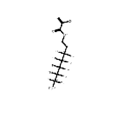 C=C(Cl)C(=O)OCCC(F)(F)C(F)(F)C(F)(F)C(F)(F)C(F)(F)C(F)(F)F